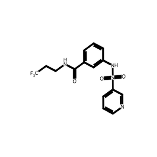 O=C(NCCC(F)(F)F)c1cccc(NS(=O)(=O)c2cccnc2)c1